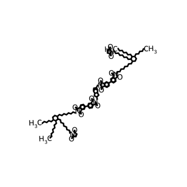 CCCCCCCCC1C(CCCCCC)CCC(CCCCCCCCN2C(=O)c3ccc(-c4ccc5c(c4)C(=O)N(CC4CC6C7CC(CN8C(=O)c9ccc(-c%10ccc%11c(c%10)C(=O)N(CCCCCCCCC%10CCC(CCCCCC)C(CCCCCCCC)C%10CCCCCCCCN%10C(=O)C=CC%10=O)C%11=O)cc9C8=O)C(C7)C6C4)C5=O)cc3C2=O)C1CCCCCCCCN1C(=O)C=CC1=O